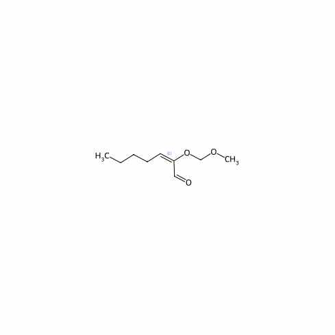 CCCC/C=C(\C=O)OCOC